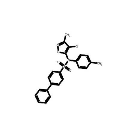 Cc1ccc(N(c2onc(C)c2Cl)S(=O)(=O)c2ccc(-c3ccccc3)cc2)cc1